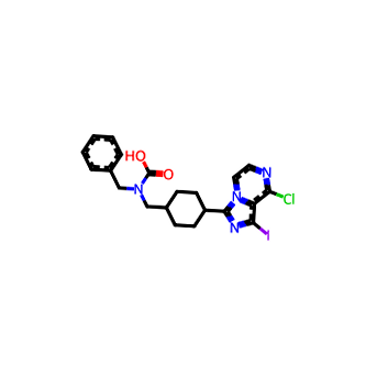 O=C(O)N(Cc1ccccc1)CC1CCC(c2nc(I)c3c(Cl)nccn23)CC1